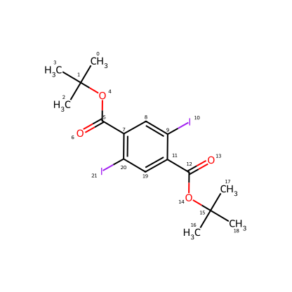 CC(C)(C)OC(=O)c1cc(I)c(C(=O)OC(C)(C)C)cc1I